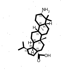 CC(C)[C@@H]1CC[C@]2(C(=O)O)CC[C@@]3(C)C4CC[C@H]5C(C)(C)[C@@H](N)CC[C@]5(C)[C@H]4CC[C@@H]3[C@@H]12